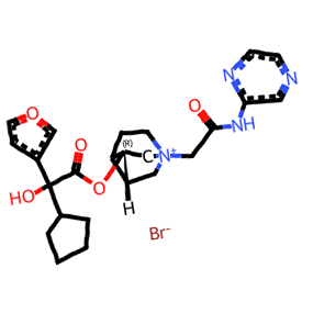 O=C(C[N+]12CCC(CC1)[C@@H](OC(=O)C(O)(c1ccoc1)C1CCCC1)C2)Nc1cnccn1.[Br-]